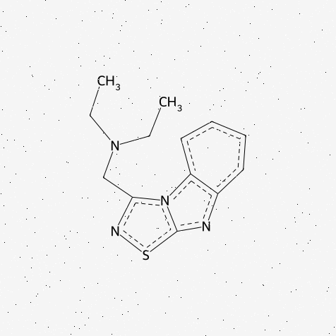 CCN(CC)Cc1nsc2nc3ccccc3n12